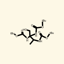 CC(NC(=O)OC(C)(C)C)C(CO)(NC(=O)OC(C)(C)C)NC(=O)OC(C)(C)C